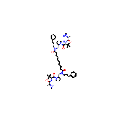 CN[C@@H](C)C(=O)N[C@H](C(=O)N1CCC[C@H]1CN(CCCc1ccccc1)C(=O)CCCCCCCCC(=O)N(CCCc1ccccc1)C[C@@H]1CCCN1C(=O)[C@@H](NC(=O)[C@H](C)NC)C(C)(C)C)C(C)(C)C